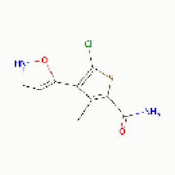 Cc1c(C(N)=O)sc(Cl)c1C1=CCNO1